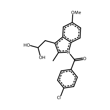 COc1ccc2c(c1)c(CC(O)O)c(C)n2C(=O)c1ccc(Cl)cc1